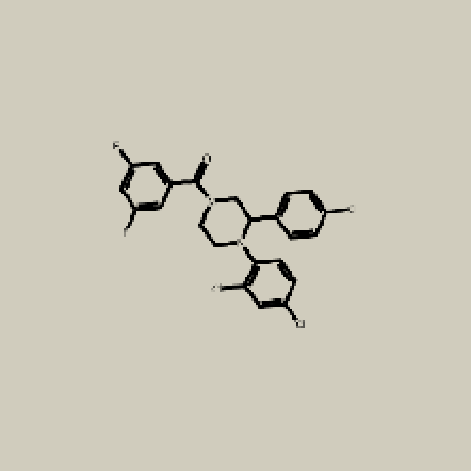 O=C(c1cc(F)cc(F)c1)N1CCN(c2ccc(Cl)cc2Cl)C(c2ccc(Cl)cc2)C1